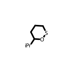 CC(C)C1CCCSO1